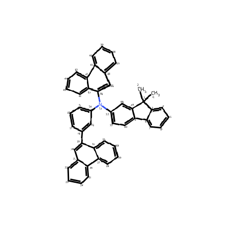 CC1(C)c2ccccc2-c2ccc(N(c3cccc(-c4cc5ccccc5c5ccccc45)c3)c3cc4ccccc4c4ccccc34)cc21